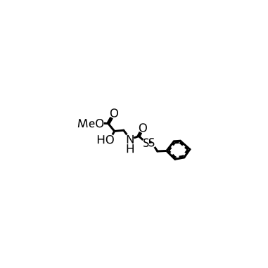 COC(=O)C(O)CNC(=O)SSCc1ccccc1